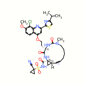 COc1ccc2c(OCC[C@@H]3NC(=O)N(C)CCCC/C=C\[C@@H]4C[C@@]4(C(=O)NS(=O)(=O)C4(C#N)CC4)NC3=O)cc(-c3nc(C(C)C)cs3)nc2c1Cl